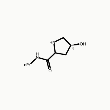 CCCNC(=O)C1C[C@H](O)CN1